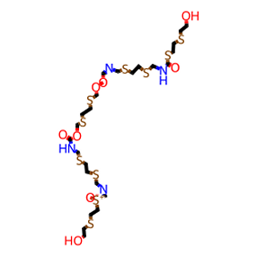 O=C(NCSCCSC/N=C\[S+]([O-])CCSCCO)OCSCCSCOO/C=N\CSCCSCNC(=O)SCCSCCO